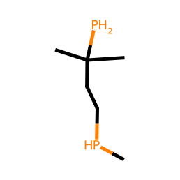 CPCCC(C)(C)P